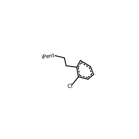 CCCC(C)CCc1cc[c]cc1Cl